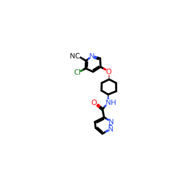 N#Cc1ncc(O[C@H]2CC[C@H](NC(=O)c3cccnn3)CC2)cc1Cl